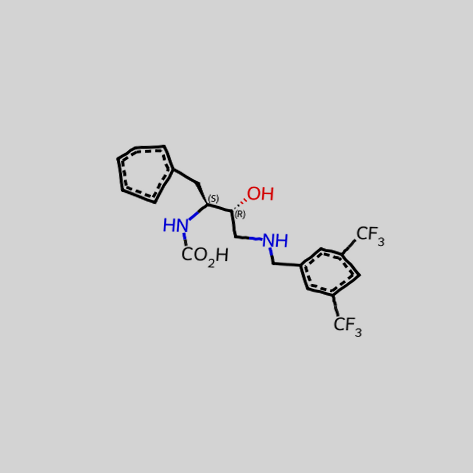 O=C(O)N[C@@H](Cc1ccccc1)[C@H](O)CNCc1cc(C(F)(F)F)cc(C(F)(F)F)c1